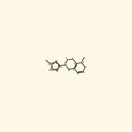 CC1CC=CC2=C1CCN(c1cnn(C)c1)C2